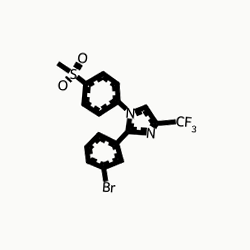 CS(=O)(=O)c1ccc(-n2cc(C(F)(F)F)nc2-c2cccc(Br)c2)cc1